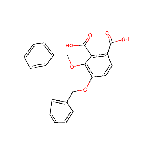 O=C(O)c1ccc(OCc2ccccc2)c(OCc2ccccc2)c1C(=O)O